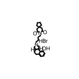 Br.O=C1CC2(CCCC2)CC(=O)N1CCCCN1C[C@@H]2CCc3cccc(O)c3[C@@H]2C1